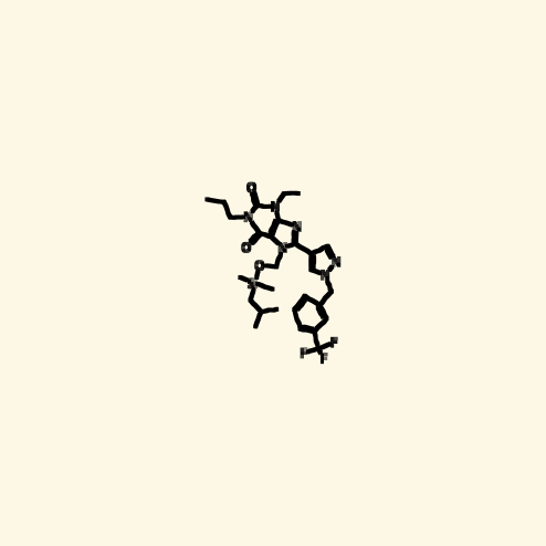 CCCn1c(=O)c2c(nc(-c3cnn(Cc4cccc(C(F)(F)F)c4)c3)n2CO[Si](C)(C)CC(C)C)n(CC)c1=O